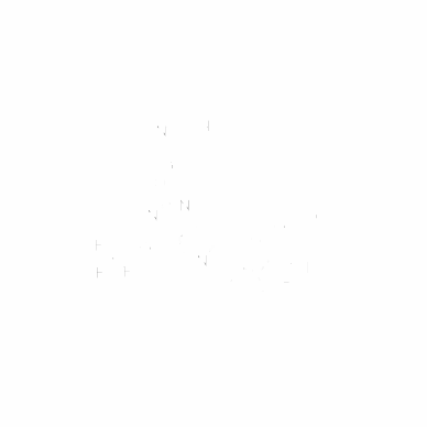 COCOc1cc(-c2ncc3c(OCC(F)(F)F)nc(OC[C@@]45CCCN4C[C@H](F)C5)nc3c2F)c2ccccc2c1C(F)(F)F